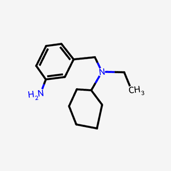 CCN(Cc1cccc(N)c1)C1CCCCC1